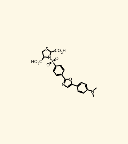 CN(C)c1ccc(-c2cnc(-c3ccc(S(=O)(=O)N4C(C(=O)O)CSC4C(=O)O)cc3)o2)cc1